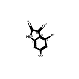 O=C1Nc2cc(Br)cc(F)c2C1=O